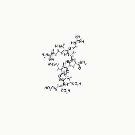 CSCC[C@@H](NC(=O)[C@H](CCC(N)=O)NC(=O)[C@H](CCCNC(=N)N)NC(=O)[C@H](CCCNC(=N)N)NC(C)=O)C(=O)N[C@@H](CCC(=O)O)C(=O)N[C@@H](CCC(=O)O)C(=O)O